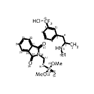 CCNC(C)Cc1cccc(C(F)(F)F)c1.COP(=S)(OC)SCN1C(=O)c2ccccc2C1=O.Cl